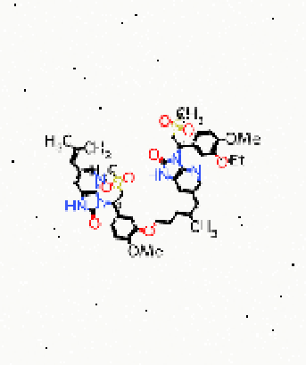 CCOc1cc([C@H](CS(C)(=O)=O)n2c(=O)[nH]c3cc(CC(C)CCCOc4cc([C@H](CS(C)(=O)=O)n5c(=O)[nH]c6cc(C=C(C)C)cnc65)ccc4OC)cnc32)ccc1OC